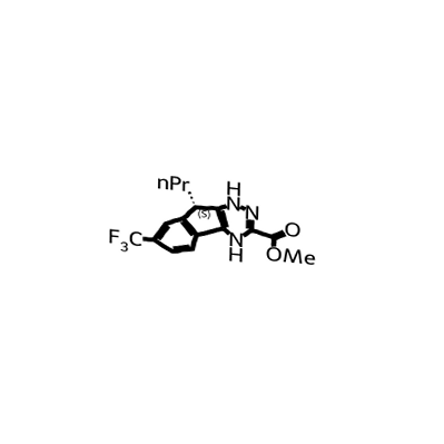 CCC[C@@H]1C2=C(NC(C(=O)OC)=NN2)c2ccc(C(F)(F)F)cc21